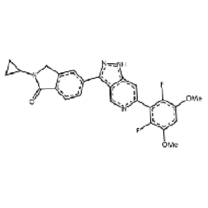 COc1cc(OC)c(F)c(-c2cc3[nH]nc(-c4ccc5c(c4)CN(C4CC4)C5=O)c3cn2)c1F